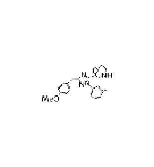 COc1ccc(Cc2nc(C3CNCCO3)n(-c3cccc(C)c3)n2)cc1